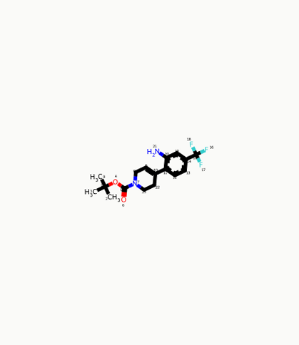 CC(C)(C)OC(=O)N1CC=C(c2ccc(C(F)(F)F)cc2N)CC1